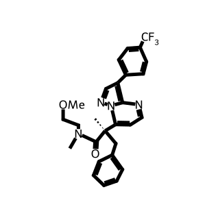 COCCN(C)C(=O)[C@](C)(Cc1ccccc1)c1ccnc2c(-c3ccc(C(F)(F)F)cc3)cnn12